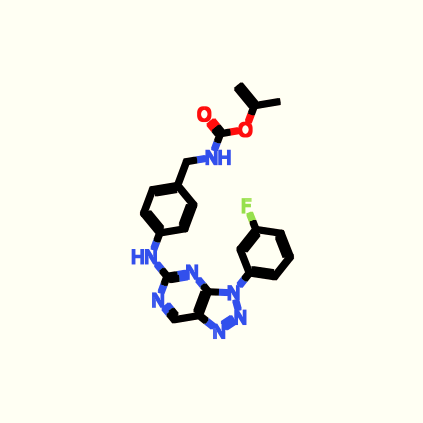 C=C(C)OC(=O)NCc1ccc(Nc2ncc3nnn(-c4cccc(F)c4)c3n2)cc1